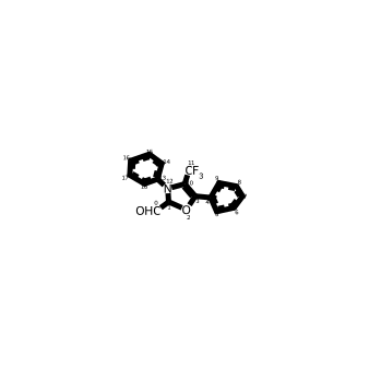 O=CC1OC(c2ccccc2)=C(C(F)(F)F)N1c1ccccc1